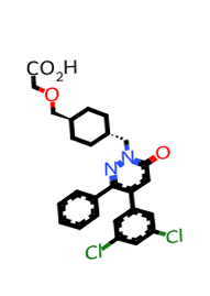 O=C(O)COC[C@H]1CC[C@H](Cn2nc(-c3ccccc3)c(-c3cc(Cl)cc(Cl)c3)cc2=O)CC1